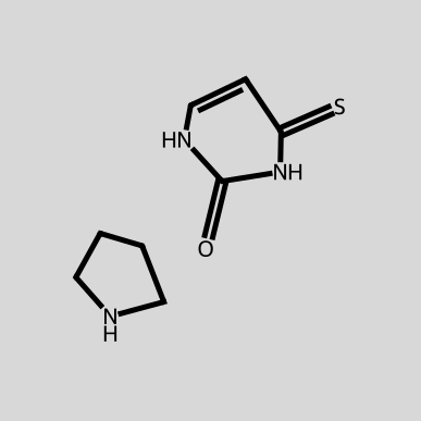 C1CCNC1.O=c1[nH]ccc(=S)[nH]1